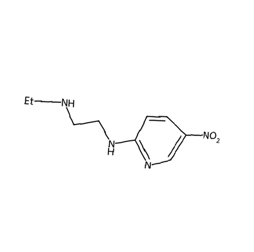 CCNCCNc1ccc([N+](=O)[O-])cn1